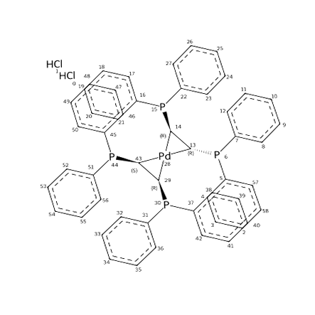 Cl.Cl.c1ccc(P(c2ccccc2)[C@H]2[C@H](P(c3ccccc3)c3ccccc3)[Pd]23[C@@H](P(c2ccccc2)c2ccccc2)[C@H]3P(c2ccccc2)c2ccccc2)cc1